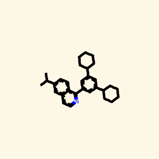 CC(C)c1ccc2c(-c3cc(C4CCCCC4)cc(C4CCCCC4)c3)nccc2c1